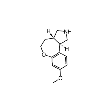 COc1ccc2c(c1)OCC[C@@H]1CNC[C@@H]21